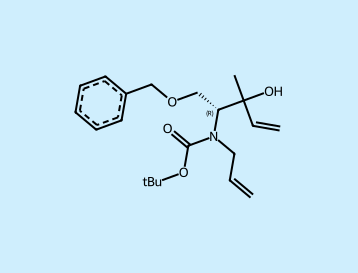 C=CCN(C(=O)OC(C)(C)C)[C@H](COCc1ccccc1)C(C)(O)C=C